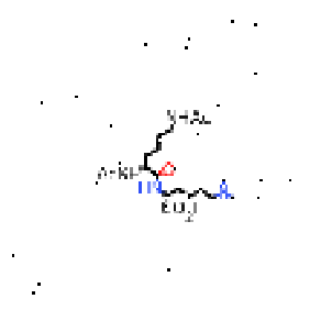 CC(=O)NCCCC[C@H](NC(C)=O)C(=O)N[C@@H](CCCCN(C)C)C(=O)O